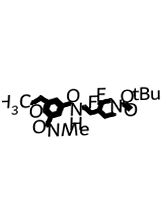 CNC(=O)c1cc(C(=O)NCCC2CCN(C(=O)OC(C)(C)C)CC2(F)F)cc2c1OC(C)C2